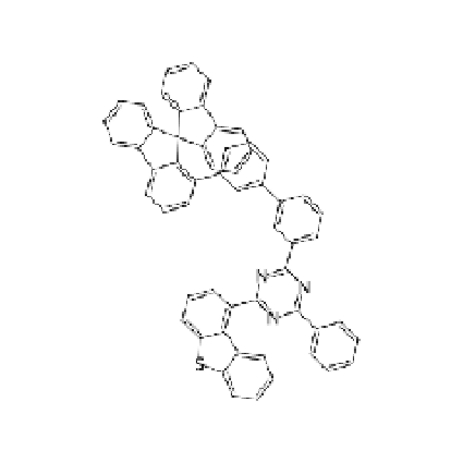 c1ccc(-c2nc(-c3cccc(-c4cccc(-c5cccc6c5C5(c7ccccc7-c7ccccc75)c5ccccc5-6)c4)c3)nc(-c3cccc4sc5ccccc5c34)n2)cc1